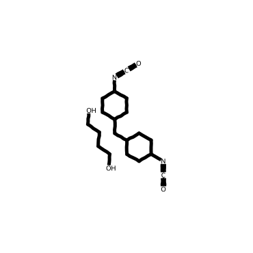 O=C=NC1CCC(CC2CCC(N=C=O)CC2)CC1.OCCCCO